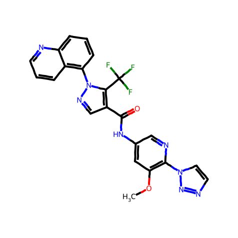 COc1cc(NC(=O)c2cnn(-c3cccc4ncccc34)c2C(F)(F)F)cnc1-n1ccnn1